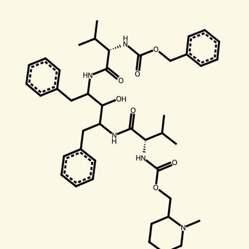 CC(C)[C@H](NC(=O)OCc1ccccc1)C(=O)NC(Cc1ccccc1)C(O)C(Cc1ccccc1)NC(=O)[C@@H](NC(=O)OCC1CCCCN1C)C(C)C